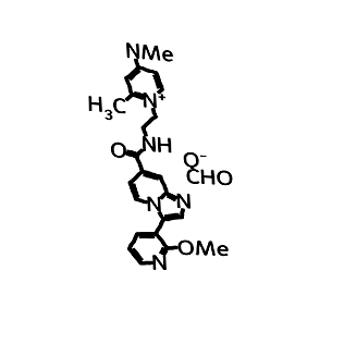 CNc1cc[n+](CCNC(=O)c2ccn3c(-c4cccnc4OC)cnc3c2)c(C)c1.O=C[O-]